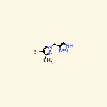 Cc1nn(Cc2c[nH]nn2)cc1Br